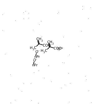 C=C(C)C(=O)[O-].C=C(C)C(=O)[O-].CCC[O-].CCC[O-].[Ti+4]